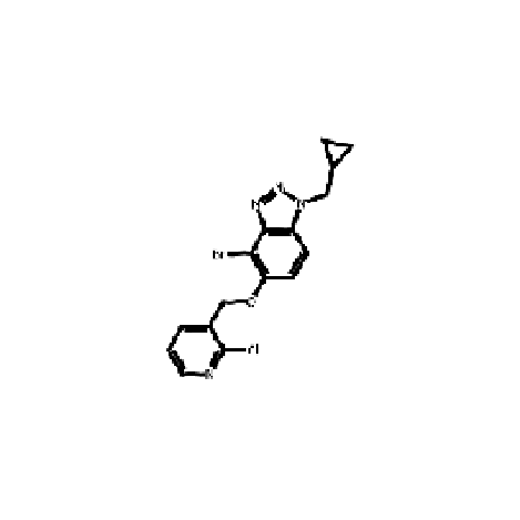 Clc1ncccc1COc1ccc2c(nnn2CC2CC2)c1Br